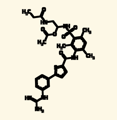 CCC(=O)NCC(NS(=O)(=O)c1c(C)cc(C)c(NC(=O)c2ccc(-c3cccc(NC(=N)N)c3)s2)c1C)OC(C)=O